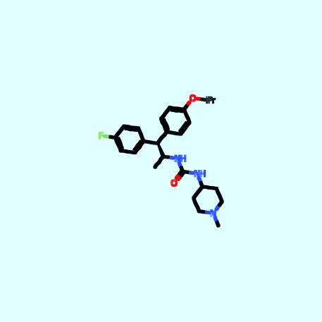 CC(C)Oc1ccc([C@H](c2ccc(F)cc2)C(C)NC(=O)NC2CCN(C)CC2)cc1